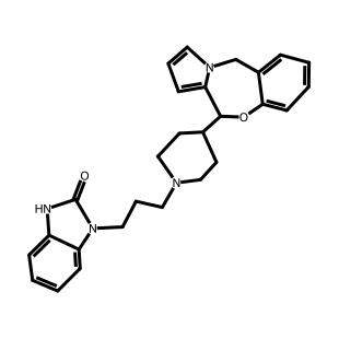 O=c1[nH]c2ccccc2n1CCCN1CCC(C2Oc3ccccc3Cn3cccc32)CC1